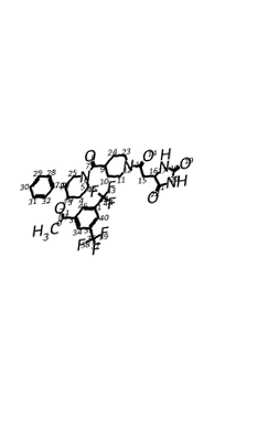 C[C@@H](O[C@H]1CCN(C(=O)C2CCN(C(=O)CC3NC(=O)NC3=O)CC2)C[C@H]1c1ccccc1)c1cc(C(F)(F)F)cc(C(F)(F)F)c1